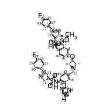 COC(=O)c1cc(OC2CN(Cc3ccc(NS(=O)(=O)c4cnn(-c5ccc(F)cc5)c4)c(-c4nn[nH]n4)c3)C2)ccc1NS(=O)(=O)c1cnn(-c2ccc(F)cc2)c1